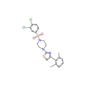 Cc1cccc(C)c1-c1csc(N2CCN(S(=O)(=O)c3ccc(Cl)c(Cl)c3)CC2)n1